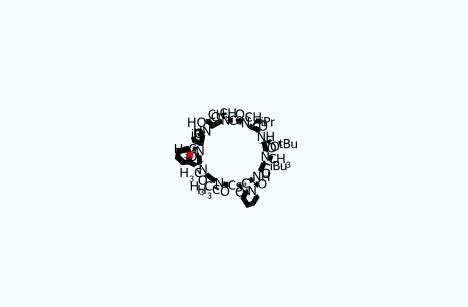 CC[C@H](C)[C@H]1C(=O)N[C@H](C(=O)N2CCCCC2)C[S+]([O-])CC(=O)N(C)[C@@H](C)C(=O)N(C)[C@@H](Cc2ccccc2)C(=O)N(C)C(CC(C)C)C(=O)N[C@@H]([C@@H](C)O)C(=O)N(C)CC(=O)N(C)[C@@H](CC(C)C)C(=O)N[C@@H](COC(C)(C)C)C(=O)N1C